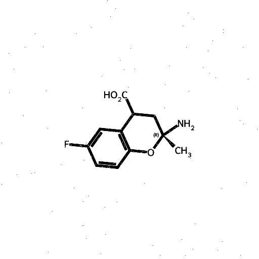 C[C@]1(N)CC(C(=O)O)c2cc(F)ccc2O1